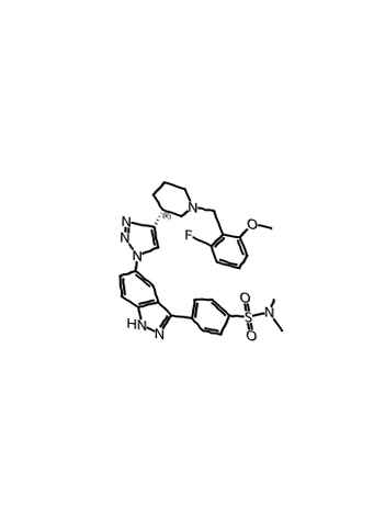 COc1cccc(F)c1CN1CCC[C@@H](c2cn(-c3ccc4[nH]nc(-c5ccc(S(=O)(=O)N(C)C)cc5)c4c3)nn2)C1